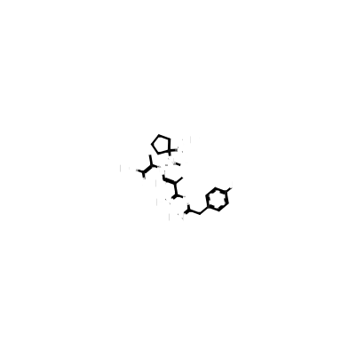 CCN(C=O)C1(N(C)N(/C=C(\C)C(=N)SC(=N)Cc2ccc(F)cc2)/C(C)=C(/O)C=O)CCCC1